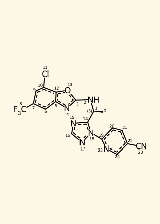 C[C@H](Nc1nc2cc(C(F)(F)F)cc(Cl)c2o1)c1ncnn1-c1ccc(C#N)cn1